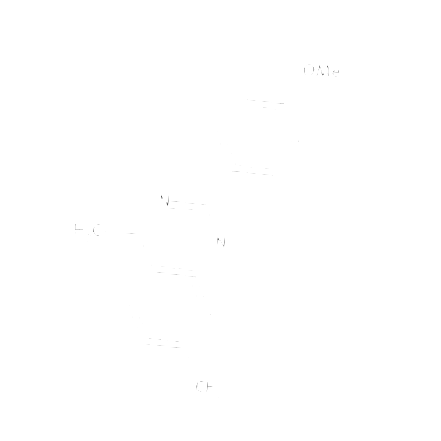 COc1ccc(-c2nc(C)c3ccc(C(F)(F)F)cc3n2)cc1